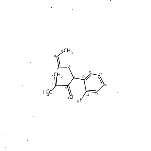 C=C(C)C(=O)C(C/C=C\C)c1ccccc1F